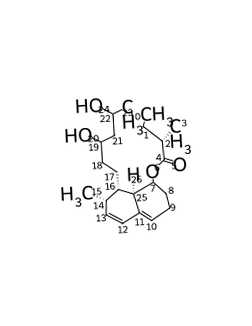 CC[C@H](C)C(=O)OC1CCC=C2C=C[C@H](C)[C@H](CCC(O)CC(C)O)[C@H]21